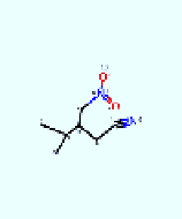 CC(C)C(CC#N)C[N+](=O)[O-]